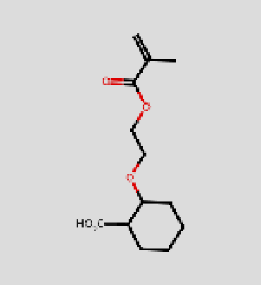 C=C(C)C(=O)OCCOC1CCCCC1C(=O)O